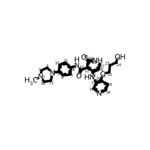 CN1CCN(c2ccc(NC(=O)c3c(Nc4cnccc4OCCCO)cc[nH]c3=O)cc2)CC1